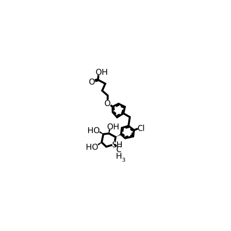 C[SH]1C[C@@H](O)[C@@H](O)[C@@H](O)[C@@H]1c1ccc(Cl)c(Cc2ccc(OCCCC(=O)O)cc2)c1